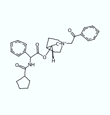 O=C(C[N+]12CCC(CC1)[C@@H](OC(=O)C(NC(=O)C1CCCC1)c1ccccc1)C2)c1ccccc1